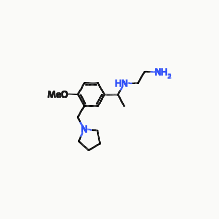 COc1ccc(C(C)NCCN)cc1CN1CCCC1